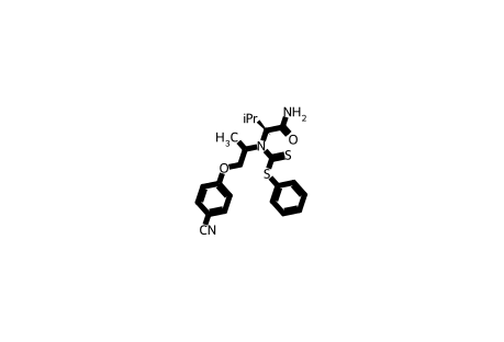 CC(C)[C@@H](C(N)=O)N(C(=S)Sc1ccccc1)C(C)COc1ccc(C#N)cc1